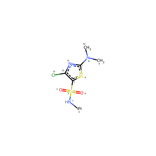 CC(C)NS(=O)(=O)c1sc(N(C)C)nc1Cl